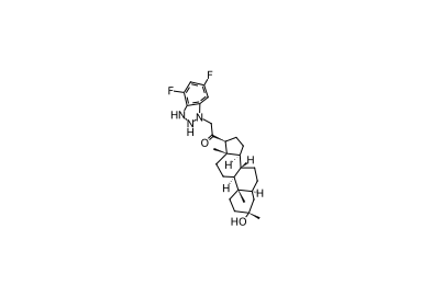 C[C@@]1(O)CC[C@@]2(C)[C@@H](CC[C@@H]3[C@@H]2CC[C@]2(C)[C@@H](C(=O)CN4NNc5c(F)cc(F)cc54)CC[C@@H]32)C1